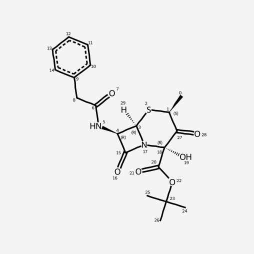 C[C@@H]1S[C@@H]2[C@H](NC(=O)Cc3ccccc3)C(=O)N2[C@](O)(C(=O)OC(C)(C)C)C1=O